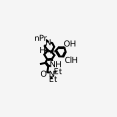 CCCN1CC[C@@]2(c3cccc(O)c3)Cc3[nH]c(C(=O)N(CC)CC)c(C)c3C[C@@H]2C1.Cl